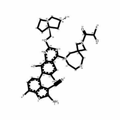 N#Cc1c(N)sc2c(F)ccc(-c3c(Cl)cc4c(N5CCOCC6(CN(C(=O)C(F)Cl)C6)C5)nc(OC[C@@]56CCCN5C[C@H](F)C6)nc4c3F)c12